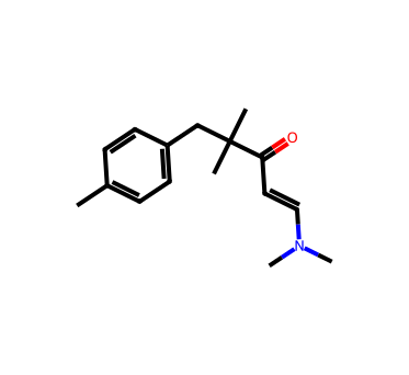 Cc1ccc(CC(C)(C)C(=O)C=CN(C)C)cc1